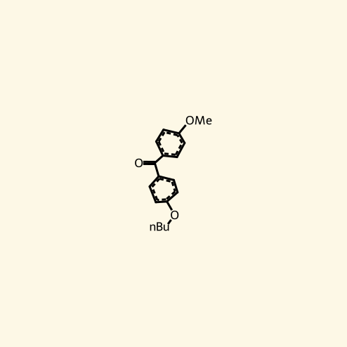 CCCCOc1ccc(C(=O)c2ccc(OC)cc2)cc1